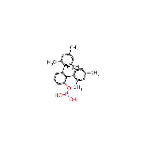 Cc1cc(C)c(-c2cccc(OP(O)O)c2-c2c(C)cc(C)cc2C)c(C)c1